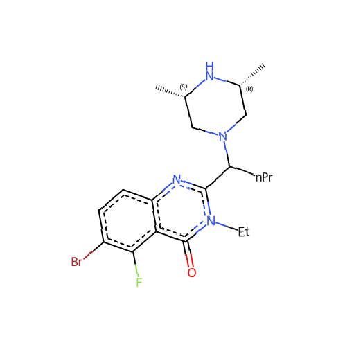 CCCC(c1nc2ccc(Br)c(F)c2c(=O)n1CC)N1C[C@@H](C)N[C@@H](C)C1